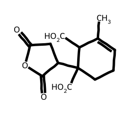 CC1=CCCC(C(=O)O)(C2CC(=O)OC2=O)C1C(=O)O